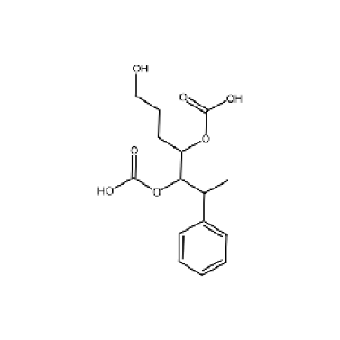 CC(c1ccccc1)C(OC(=O)O)C(CCCO)OC(=O)O